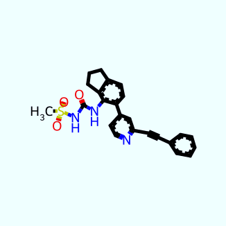 CS(=O)(=O)NC(=O)Nc1c(-c2ccnc(C#Cc3ccccc3)c2)ccc2c1CCC2